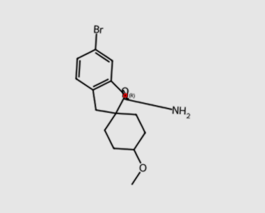 COC1CCC2(CC1)Cc1ccc(Br)cc1[C@@]21COC(N)=N1